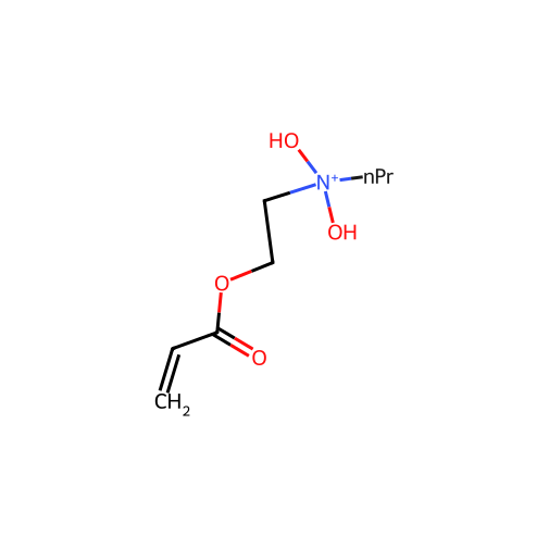 C=CC(=O)OCC[N+](O)(O)CCC